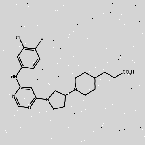 O=C(O)CCC1CCN(C2CCN(c3cc(Nc4ccc(F)c(Cl)c4)ncn3)C2)CC1